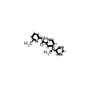 Cc1cccc(NC(=O)c2cc(N(C)c3cncnc3)ccn2)n1